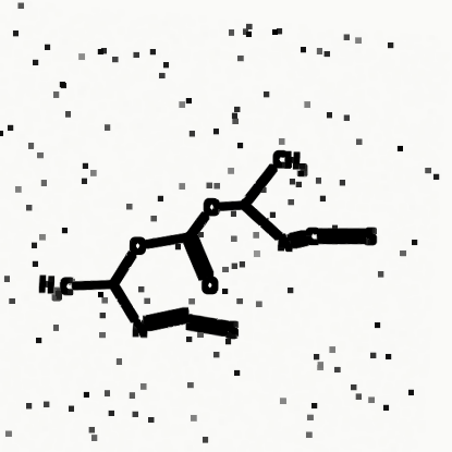 CC(N=C=S)OC(=O)OC(C)N=C=S